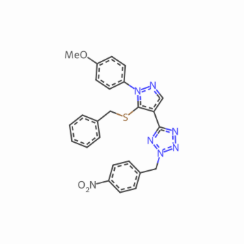 COc1ccc(-n2ncc(-c3nnn(Cc4ccc([N+](=O)[O-])cc4)n3)c2SCc2ccccc2)cc1